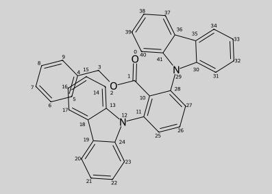 O=C(OCc1ccccc1)c1c(-n2c3ccccc3c3ccccc32)cccc1-n1c2ccccc2c2ccccc21